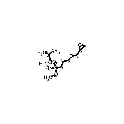 CO[Si](CCCOCC1CO1)(OC)OCC(C)C